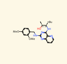 CCCC[C@@H](Nc1nc(NCc2ccc(OC)cc2OC)nc2cccnc12)[C@H](C)O